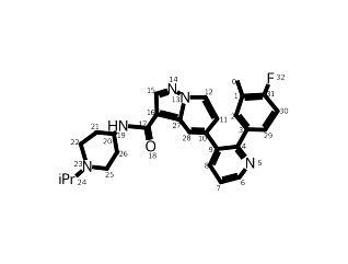 Cc1cc(-c2ncccc2-c2ccn3ncc(C(=O)NC4CCN(C(C)C)CC4)c3c2)ccc1F